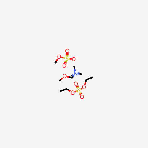 CCOS(=O)(=O)OCC.COC=[N+](C)C.COS(=O)(=O)[O-]